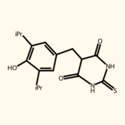 CC(C)c1cc(CC2C(=O)NC(=S)NC2=O)cc(C(C)C)c1O